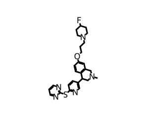 CN1Cc2cc(OCCCN3CCC(F)CC3)ccc2C(c2ccc(Sc3ncccn3)nc2)C1